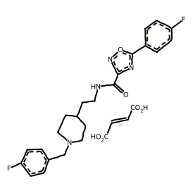 O=C(NCCC1CCN(Cc2ccc(F)cc2)CC1)c1noc(-c2ccc(F)cc2)n1.O=C(O)/C=C/C(=O)O